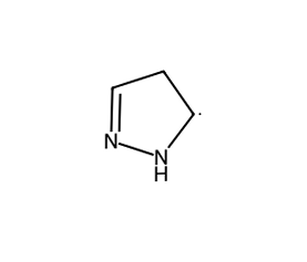 [CH]1CC=NN1